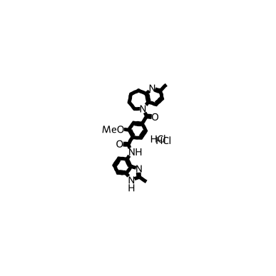 COc1cc(C(=O)N2CCCCc3nc(C)ccc32)ccc1C(=O)Nc1cccc2[nH]c(C)nc12.Cl.Cl